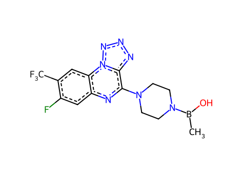 CB(O)N1CCN(c2nc3cc(F)c(C(F)(F)F)cc3n3nnnc23)CC1